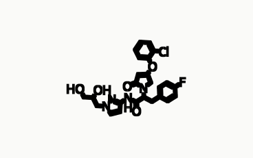 O=C(Nc1ccn(CC(O)CO)n1)C(Cc1ccc(F)cc1)N1CC(Oc2ccccc2Cl)=CC1=O